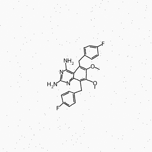 COc1c(OC)c(Cc2ccc(F)cc2)c2c(N)nc(N)nc2c1Cc1ccc(F)cc1